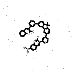 CCN(CC)c1ccc2cc(-c3cccc(-c4ccc5c(c4)-c4cc(-c6cccc(-c7cc8ccccc8oc7=O)c6)ccc4C5(C)C)c3)c(=O)oc2c1